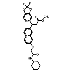 COC(=O)CC(c1ccc2c(c1)OC(F)(F)O2)c1ccc2ccc(OCC(=O)NC3CCCCC3)cc2c1